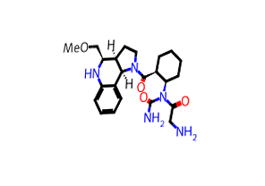 COC[C@@H]1Nc2ccccc2[C@H]2[C@@H]1CCN2C(=O)[C@H]1CCCC[C@H]1N(C(N)=O)C(=O)CN